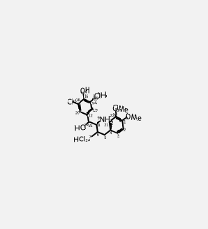 COc1ccc(CC(C)C(N)C(O)c2cc(O)c(O)c(Cl)c2)cc1OC.Cl